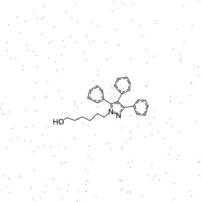 OCCCCCCn1nc(-c2ccccc2)c(-c2ccccc2)c1-c1ccccc1